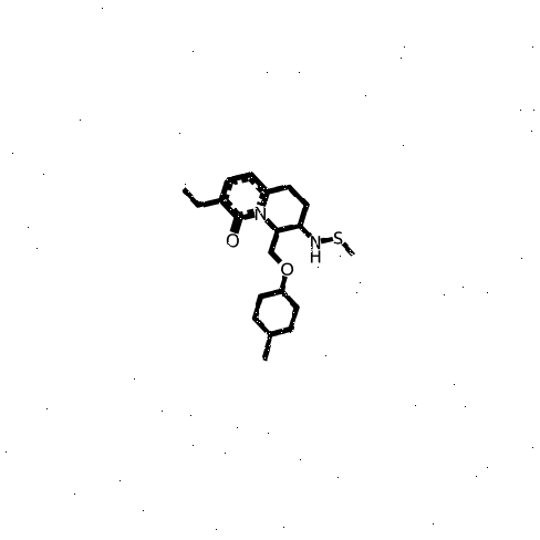 CCc1ccc2n(c1=O)C(COC1CCC(C)CC1)C(NSC)CC2